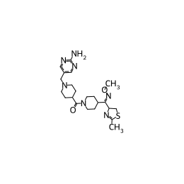 CO/N=C(\C1CCN(C(=O)C2CCN(Cc3cnc(N)nc3)CC2)CC1)C1CSC(C)=N1